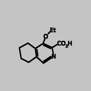 CCOc1c(C(=O)O)ncc2c1CCCC2